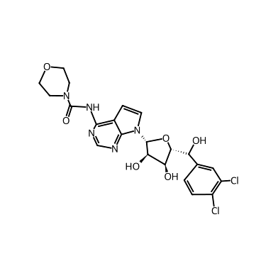 O=C(Nc1ncnc2c1ccn2[C@@H]1O[C@H](C(O)c2ccc(Cl)c(Cl)c2)[C@@H](O)[C@H]1O)N1CCOCC1